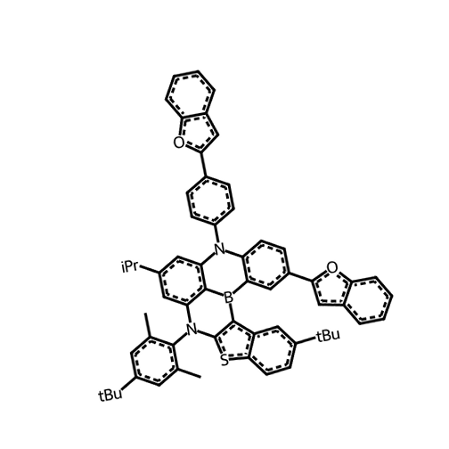 Cc1cc(C(C)(C)C)cc(C)c1N1c2cc(C(C)C)cc3c2B(c2cc(-c4cc5ccccc5o4)ccc2N3c2ccc(-c3cc4ccccc4o3)cc2)c2c1sc1ccc(C(C)(C)C)cc21